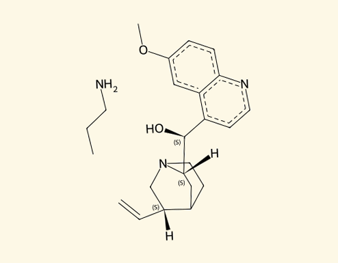 C=C[C@@H]1CN2CCC1C[C@H]2[C@@H](O)c1ccnc2ccc(OC)cc12.CCCN